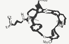 CCN(CC)CCCNC(=S)N1CCc2cc(OC)c3c4c2[C@@H]1Cc1ccc(cc1)Oc1cc(ccc1OC)C[C@H]1c2cc(c(cc2CCN1C)O3)O4